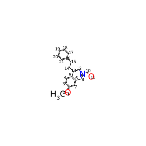 COc1ccc2c(c1)CN(C=O)CC2CCc1ccccc1